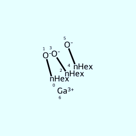 CCCCCC[O-].CCCCCC[O-].CCCCCC[O-].[Ga+3]